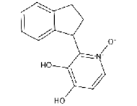 [O-][n+]1ccc(O)c(O)c1C1CCc2ccccc21